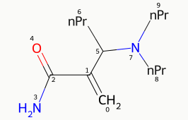 C=C(C(N)=O)C(CCC)N(CCC)CCC